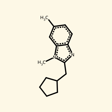 Cc1ccc2nc(CC3CCCC3)n(C)c2c1